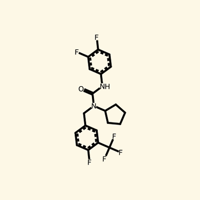 O=C(Nc1ccc(F)c(F)c1)N(Cc1ccc(F)c(C(F)(F)F)c1)C1CCCC1